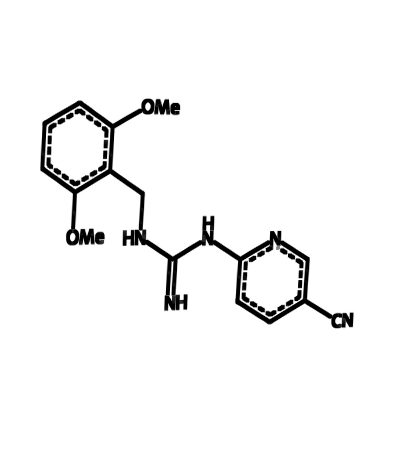 COc1cccc(OC)c1CNC(=N)Nc1ccc(C#N)cn1